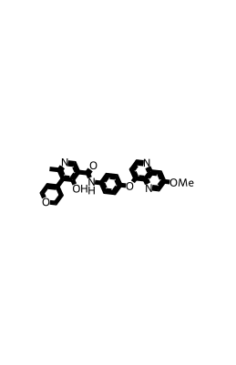 COc1cnc2c(Oc3ccc(NC(=O)c4cnc(C)c(C5=CCOCC5)c4O)cc3)ccnc2c1